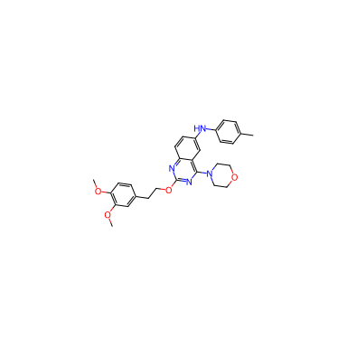 COc1ccc(CCOc2nc(N3CCOCC3)c3cc(Nc4ccc(C)cc4)ccc3n2)cc1OC